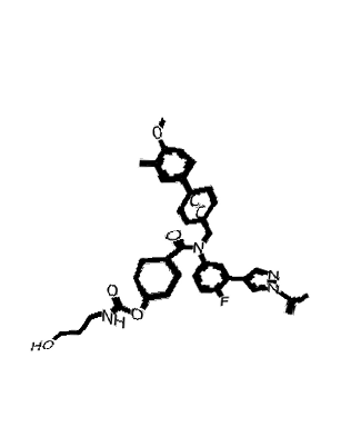 COc1ccc(C23CCC(CN(C(=O)C4CCC(OC(=O)NCCCO)CC4)c4ccc(F)c(-c5cnn(C(C)C)c5)c4)(CC2)CC3)cc1C